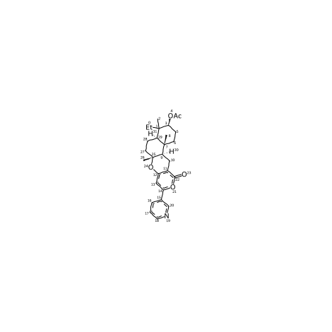 CCC1(C)[C@@H](OC(C)=O)CC[C@]2(C)[C@H]3Cc4c(cc(-c5cccnc5)oc4=O)O[C@]3(C)CC[C@@H]12